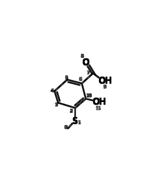 CSc1cccc(C(=O)O)c1O